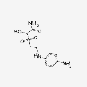 NC(=O)C(O)S(=O)(=O)CCNc1ccc(N)cc1